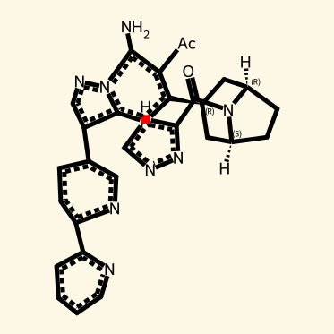 CC(=O)c1c([C@H]2C[C@H]3CC[C@@H](C2)N3C(=O)c2nnc[nH]2)nc2c(-c3ccc(-c4ccccn4)nc3)cnn2c1N